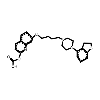 O=C(O)Oc1ccc2ccc(OCCCCN3CCN(c4cccc5c4CCS5)CC3)cc2n1